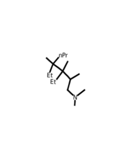 CCCC(C)(CC)C(C)(CC)C(C)CN(C)C